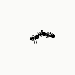 CC(C)OC(=O)N[C@H]1CC[C@H](c2ncc(-c3ccc(NC(=O)NCc4ccccn4)cc3F)s2)CC1